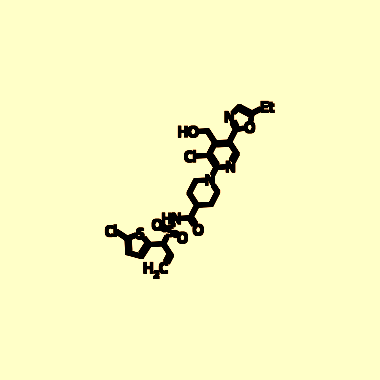 C=CC(c1ccc(Cl)s1)S(=O)(=O)NC(=O)C1CCN(c2ncc(-c3ncc(CC)o3)c(CO)c2Cl)CC1